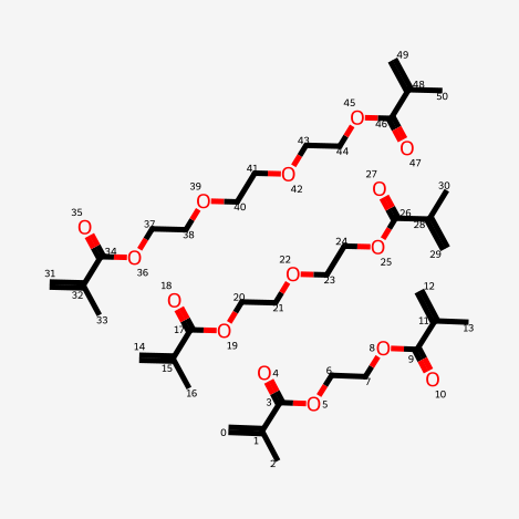 C=C(C)C(=O)OCCOC(=O)C(=C)C.C=C(C)C(=O)OCCOCCOC(=O)C(=C)C.C=C(C)C(=O)OCCOCCOCCOC(=O)C(=C)C